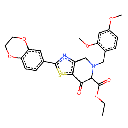 CCOC(=O)C1C(=O)c2sc(-c3ccc4c(c3)OCCO4)nc2CN1Cc1ccc(OC)cc1OC